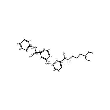 CCN(CC)CCCNC(=O)c1cccc(Nc2cccc(C(=O)Nc3ccncc3)c2)n1